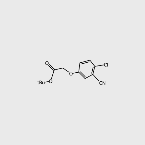 CC(C)(C)OC(=O)COc1ccc(Cl)c(C#N)c1